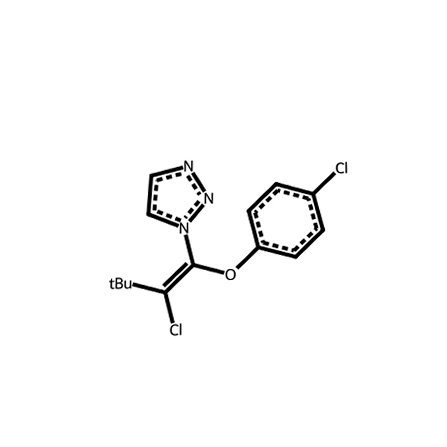 CC(C)(C)C(Cl)=C(Oc1ccc(Cl)cc1)n1ccnn1